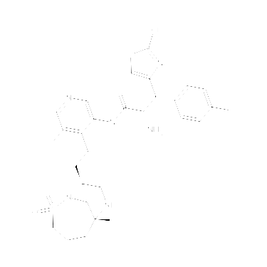 N[C@H](C(=O)Nc1cncc(F)c1CC[C@H]1CN[C@@H]2CCCS(=O)(=O)N1C2)[C@@H](c1ccc(Cl)cc1)c1csc(C(F)(F)F)n1